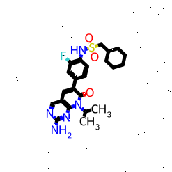 CC(C)n1c(=O)c(-c2ccc(NS(=O)(=O)CC3CCCCC3)c(F)c2)cc2cnc(N)nc21